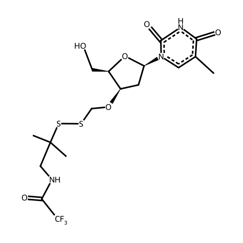 Cc1cn([C@H]2C[C@@H](OCSSC(C)(C)CNC(=O)C(F)(F)F)[C@@H](CO)O2)c(=O)[nH]c1=O